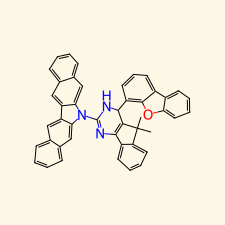 CC1(C)C2=C(N=C(n3c4cc5ccccc5cc4c4cc5ccccc5cc43)NC2c2cccc3c2oc2ccccc23)c2ccccc21